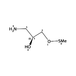 CSOC[C@@H](O)CN